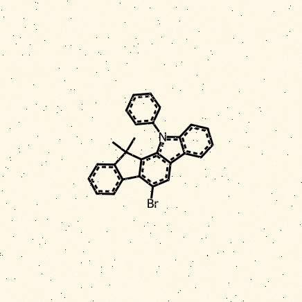 CC1(C)c2ccccc2-c2c(Br)cc3c4ccccc4n(-c4ccccc4)c3c21